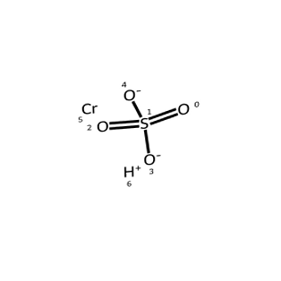 O=S(=O)([O-])[O-].[Cr].[H+]